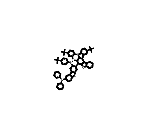 CC(C)(C)c1ccc(N2B3c4cc(C(C)(C)C)ccc4-n4c5ccc(C(C)(C)C)cc5c5c6c(oc7ccccc76)c(c3c54)-c3cc4oc5ccc(N(c6ccccc6)c6ccccc6)cc5c4cc32)cc1